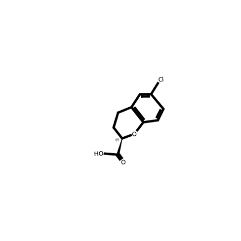 O=C(O)[C@H]1CCc2cc(Cl)ccc2O1